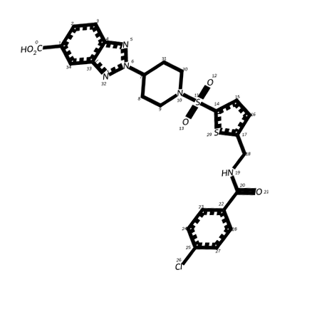 O=C(O)c1ccc2nn(C3CCN(S(=O)(=O)c4ccc(CNC(=O)c5ccc(Cl)cc5)s4)CC3)nc2c1